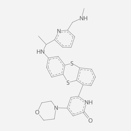 CNCc1cccc(C(C)Nc2ccc3c(c2)Sc2cccc(-c4cc(N5CCOCC5)cc(=O)[nH]4)c2S3)n1